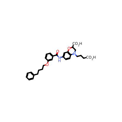 O=C(O)CCCN1CC(C(=O)O)Oc2cc(NC(=O)c3cccc(OCCCCc4ccccc4)c3)ccc21